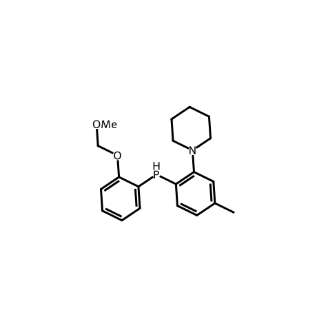 COCOc1ccccc1Pc1ccc(C)cc1N1CCCCC1